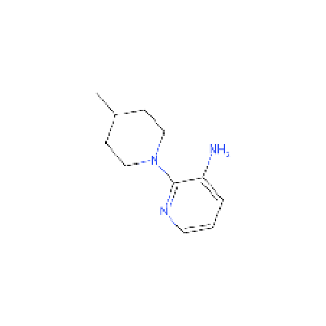 CC1CCN(c2ncccc2N)CC1